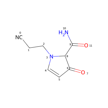 N#CCCN1C=CC(=O)C1C(N)=O